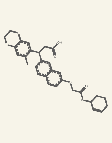 Cc1cc2c(cc1C(CC(=O)O)c1ccc3ccc(OCC(=O)NC4C=CCCC4)cc3c1)OCCO2